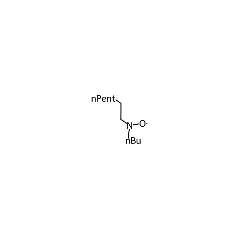 CCCCCCCN([O])CCCC